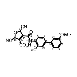 COc1cccc(-c2ccc(NC(=O)C3=C(C(=O)O)C(C#N)OC3C#N)c(F)c2)c1